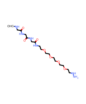 NNCCOCCOCCOCCOCCNC(=O)CNC(=O)CNC(=O)CNC=O